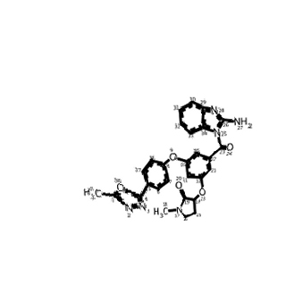 Cc1nnc(-c2ccc(Oc3cc(OC4CCN(C)C4=O)cc(C(=O)n4c(N)nc5ccccc54)c3)cc2)o1